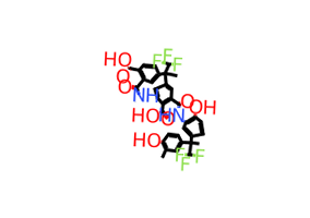 CNC(=O)c1cc(C(C)(c2ccc(C(=O)O)c(C(=O)Nc3cc(C(C)(c4ccc(O)c(C)c4)C(F)(F)F)ccc3O)c2)C(F)(F)F)ccc1C(=O)O